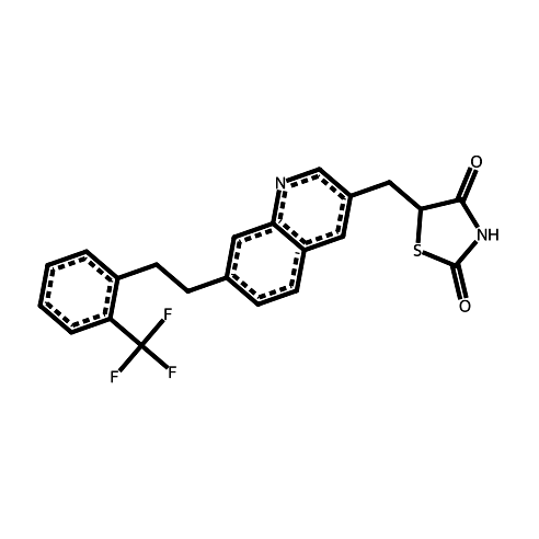 O=C1NC(=O)C(Cc2cnc3cc(CCc4ccccc4C(F)(F)F)ccc3c2)S1